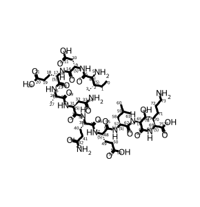 CC[C@H](C)[C@H](N)C(=O)N[C@@H](CC(=O)O)C(=O)N[C@@H](CCC(=O)O)C(=O)N[C@@H](C)C(=O)N[C@@H](CC(N)=O)C(=O)N[C@@H](CCC(N)=O)C(=O)N[C@@H](CCC(=O)O)C(=O)N[C@@H](CC(C)C)C(=O)N[C@H](C(=O)N[C@@H](CCCCN)C(=O)O)[C@@H](C)O